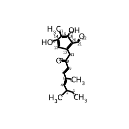 CCC(C)/C=C(C)/C=C/C(=O)Cc1cc(O)c(C)c(O)c1C=O